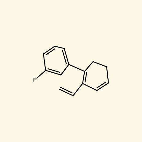 C=CC1=C(c2cccc(F)c2)CCC=C1